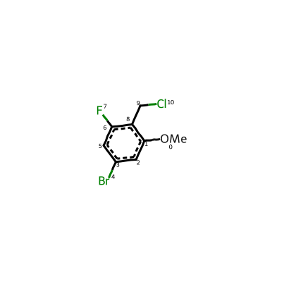 COc1cc(Br)cc(F)c1CCl